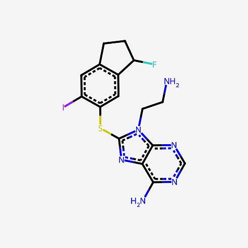 NCCn1c(Sc2cc3c(cc2I)CCC3F)nc2c(N)ncnc21